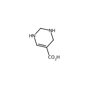 O=C(O)C1=CNCNC1